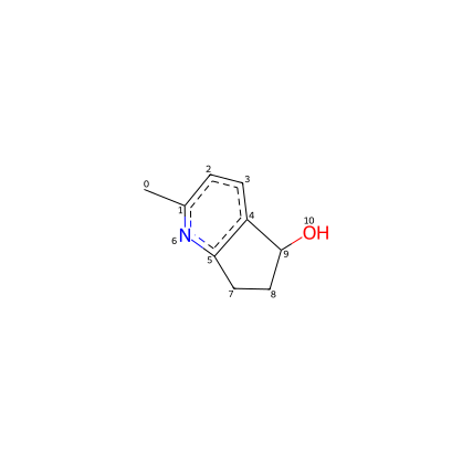 Cc1ccc2c(n1)CCC2O